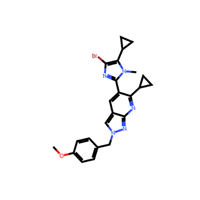 COc1ccc(Cn2cc3cc(-c4nc(Br)c(C5CC5)n4C)c(C4CC4)nc3n2)cc1